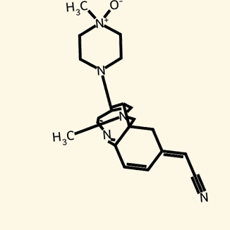 CN1CC2=C(N3CC[N+](C)([O-])CC3)C=CN=C3C=C/C(=C\C#N)CC32C1